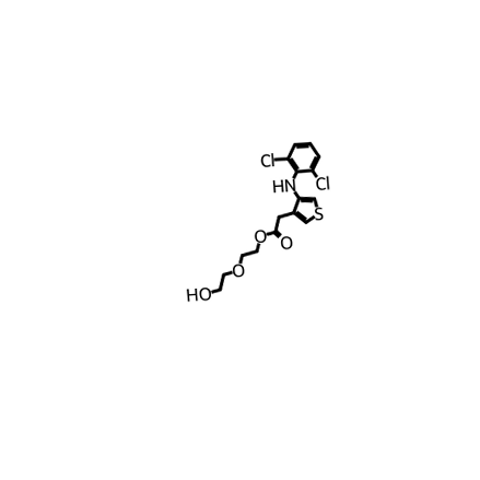 O=C(Cc1cscc1Nc1c(Cl)cccc1Cl)OCCOCCO